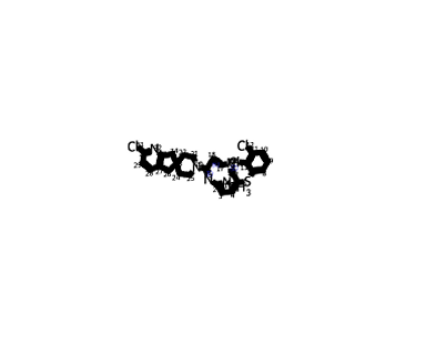 CN1C2=CC=C(Sc3cccc(Cl)c3Cl)/C1=N/C=C/C(N1CCC3(CC1)Cc1ccc(Cl)nc1C3)=N\2